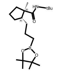 CC(C)(C)NC(=O)[C@]1(C)CCC[C@H]1CCCB1OC(C)(C)C(C)(C)O1